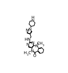 CN1C(=O)C2=CCCC=C2N(C)c2nc(NCc3cnn(C4CCNCC4)c3)ncc21